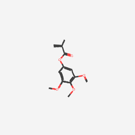 C=C(C)C(=O)Oc1cc(OC)c(OC)c(OC)c1